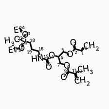 C=CC(=O)OCC(COC(=O)C(=C)C)OC(=O)NCCC[Si](C)(OCC)OCC